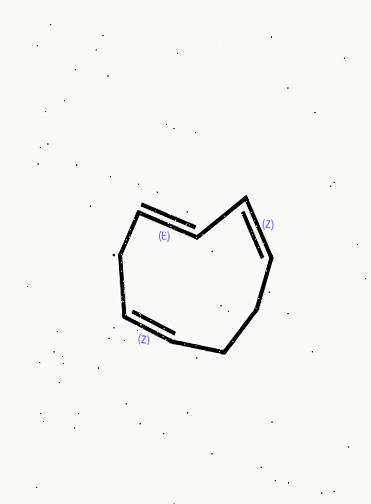 [CH]1/C=C\CC/C=C\C=C\1